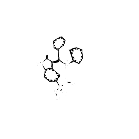 CCOP(=O)(OCC)c1ccc2c(c1)C(=C(Nc1ccccc1)c1ccccc1)C(=O)N2